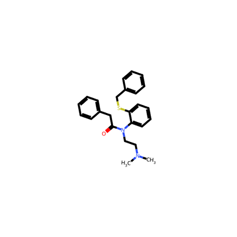 CN(C)CCN(C(=O)Cc1ccccc1)c1ccccc1SCc1ccccc1